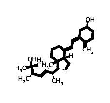 C=C1CC[C@H](O)C/C1=C/C=C1\CCCC2(C)[C@@H]([C@H](C)/C=C/[C@H](C)C(C)(C)O)CC[C@@H]12